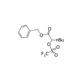 CCCCC(OS(=O)(=O)C(F)(F)F)C(=O)OCc1ccccc1